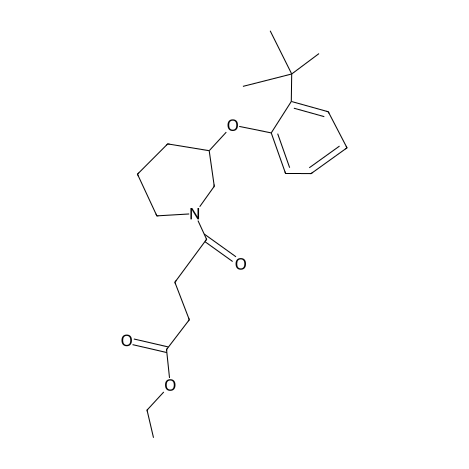 CCOC(=O)CCC(=O)N1CCCC(Oc2ccccc2C(C)(C)C)C1